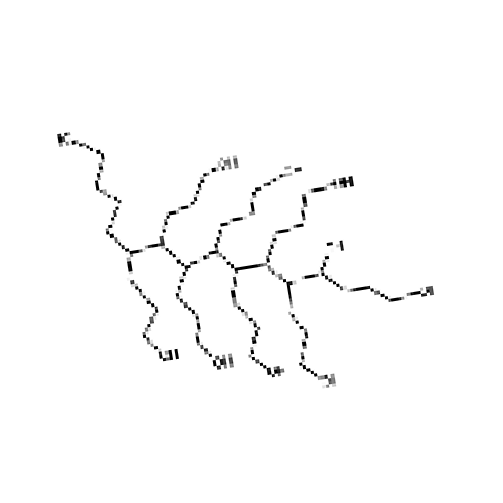 OCCCCC(CCCO)C(CCCO)C(CCCO)C(CCCO)C(CCCO)C(CCCO)C(CCCO)C(O)CCCO